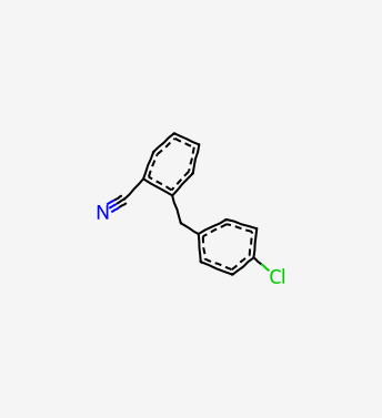 N#Cc1ccccc1Cc1ccc(Cl)cc1